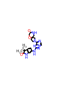 CC1(C)C(=O)Nc2cc(Nc3nc4c(N5CCC6(CNC(=O)CO6)C5)nccn4n3)ccc21